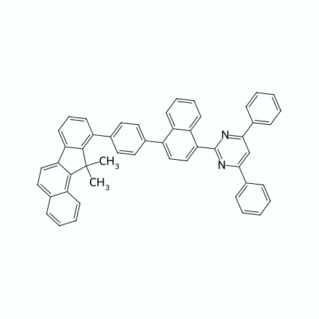 CC1(C)c2c(-c3ccc(-c4ccc(-c5nc(-c6ccccc6)cc(-c6ccccc6)n5)c5ccccc45)cc3)cccc2-c2ccc3ccccc3c21